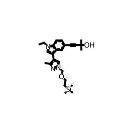 CCn1cc(-c2cn(COCC[Si](C)(C)C)nc2C)c2cc(C#CC(C)(C)O)ccc21